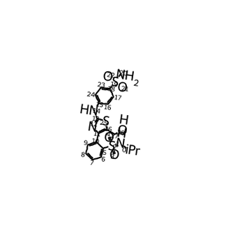 CC(C)NS(=O)(=O)c1ccccc1-c1nc(Nc2ccc(S(N)(=O)=O)cc2)sc1CO